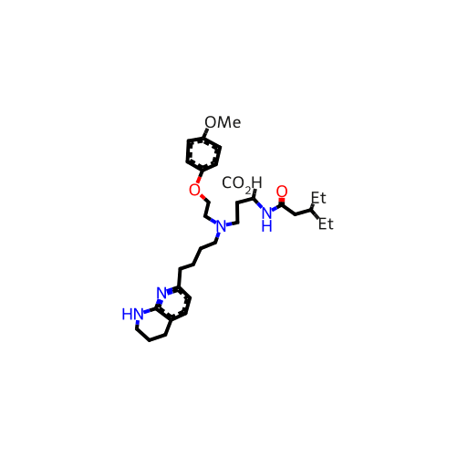 CCC(CC)CC(=O)NC(CCN(CCCCc1ccc2c(n1)NCCC2)CCOc1ccc(OC)cc1)C(=O)O